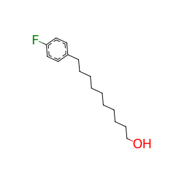 OCCCCCCCCCCc1ccc(F)cc1